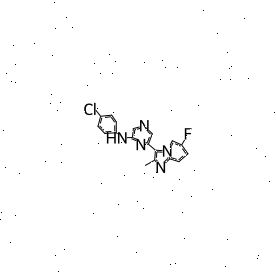 Cc1nc2ccc(F)cn2c1-c1cncc(Nc2ccc(Cl)cc2)n1